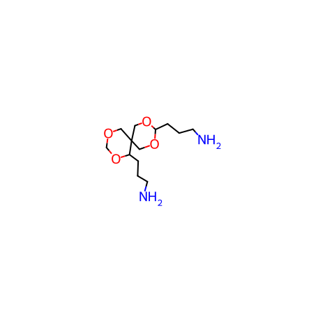 NCCCC1OCC2(COCOC2CCCN)CO1